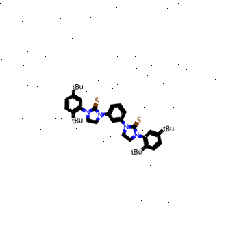 CC(C)(C)c1ccc(C(C)(C)C)c(N2CCN(c3cccc(N4CCN(c5cc(C(C)(C)C)ccc5C(C)(C)C)C4=S)c3)C2=S)c1